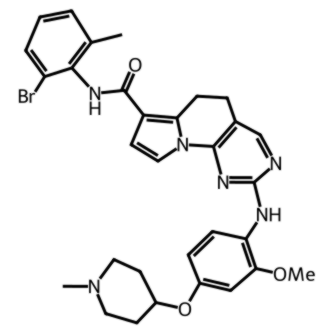 COc1cc(OC2CCN(C)CC2)ccc1Nc1ncc2c(n1)-n1ccc(C(=O)Nc3c(C)cccc3Br)c1CC2